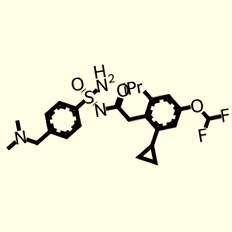 CC(C)c1cc(OC(F)F)cc(C2CC2)c1CC(=O)N=S(N)(=O)c1ccc(CN(C)C)cc1